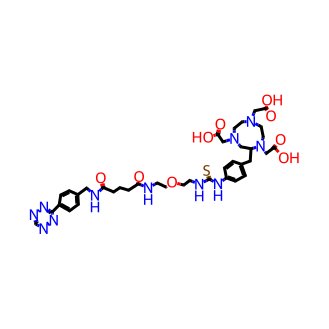 O=C(O)CN1CCN(CC(=O)O)CC(Cc2ccc(NC(=S)NCCOCCNC(=O)CCCC(=O)NCc3ccc(-c4nncnn4)cc3)cc2)N(CC(=O)O)CC1